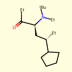 CCC(=O)[C@H](C[C@H](CC)C1CCCC1)N(CC)C(C)(C)C